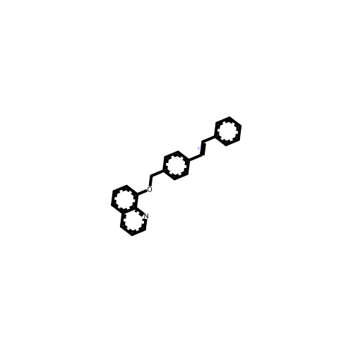 C(=C\c1ccc(COc2cccc3cccnc23)cc1)/c1ccccc1